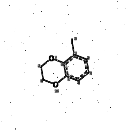 Ic1cccc2c1OCCO2